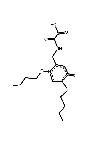 CCCCOc1cn(OCCCC)c(CNC(=O)C(=O)O)cc1=O